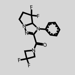 O=C(C1=NN2CCC(F)(F)C2N1c1ccccc1)N1CC(F)(F)C1